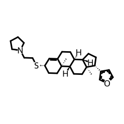 C[C@]12CC[C@H]3[C@@H](CCC4=C[C@@H](SCCN5CCCC5)CC[C@@]43C)[C@@H]1CC[C@@H]2c1ccoc1